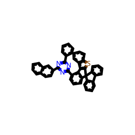 c1ccc(-c2nc(-c3ccc4ccccc4c3)nc(-c3cccc4c3-c3c(sc5ccccc35)C43c4ccccc4-c4ccccc43)n2)cc1